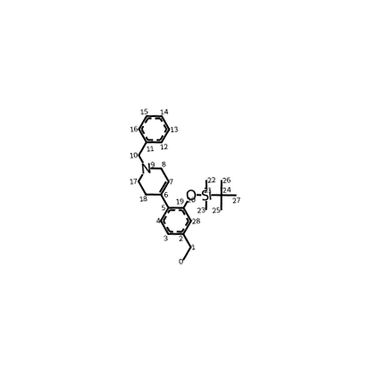 CCc1ccc(C2=CCN(Cc3ccccc3)CC2)c(O[Si](C)(C)C(C)(C)C)c1